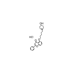 Cl.O=c1cc(-c2ccccc2)oc2cccc(OCCCCCN3CCC(O)CC3)c12